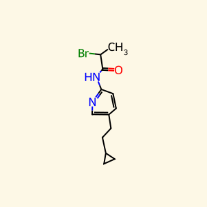 CC(Br)C(=O)Nc1ccc(CCC2CC2)cn1